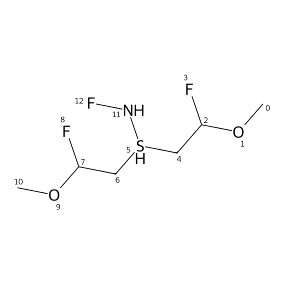 COC(F)C[SH](CC(F)OC)NF